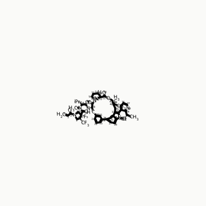 C=CC(=O)N1C[C@H](C(F)(F)F)[C@](F)(C(=O)N(C)[C@H](C(=O)N[C@H]2Cc3cccc(c3)-c3ccc4c(c3)c(c(-c3cccnc3[C@H](C)OC)n4CC)CC(C)(C)COC(=O)[C@@H]3CCCN(N3)C2=O)C(C)C)C1